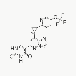 O=c1[nH]cc(-c2cc([C@H]3CC3c3ccc(OC(F)(F)F)cn3)c3nccn3n2)c(=O)[nH]1